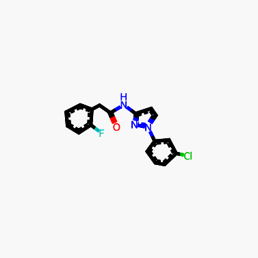 O=C(Cc1ccccc1F)Nc1ccn(-c2cccc(Cl)c2)n1